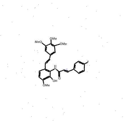 COc1ccc(C=Cc2cc(OC)c(OC)c(OC)c2)c(NC(=O)/C=C/c2ccc(F)cc2)c1O